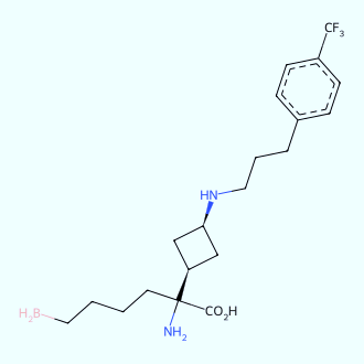 BCCCCC(N)(C(=O)O)[C@H]1C[C@@H](NCCCc2ccc(C(F)(F)F)cc2)C1